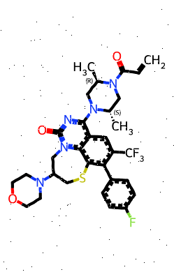 C=CC(=O)N1C[C@H](C)N(c2nc(=O)n3c4c(c(-c5ccc(F)cc5)c(C(F)(F)F)cc24)SCC(N2CCOCC2)C3)C[C@H]1C